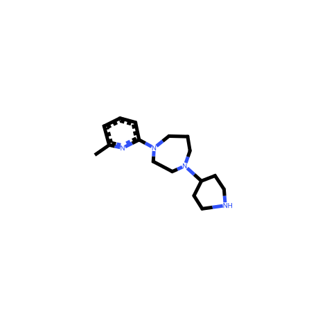 Cc1cccc(N2CCCN(C3CCNCC3)CC2)n1